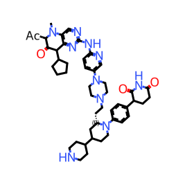 CC(=O)C1C(=O)C(C2CCCC2)c2nc(Nc3ccc(N4CCN(CC[C@H]5CC(C6CCNCC6)CCN5c5ccc(C6CCC(=O)NC6=O)cc5)CC4)cn3)ncc2N1C